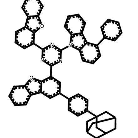 c1ccc(-c2cccc3c2c2ccccc2n3-c2nc(-c3cccc4c3oc3ccccc34)nc(-c3cc(-c4ccc(C56CC7CC(CC(C7)C5)C6)cc4)cc4c3oc3ccccc34)n2)cc1